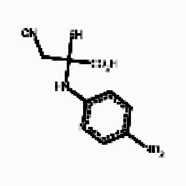 O=NCC(S)(Nc1ccc([N+](=O)[O-])cn1)C(=O)O